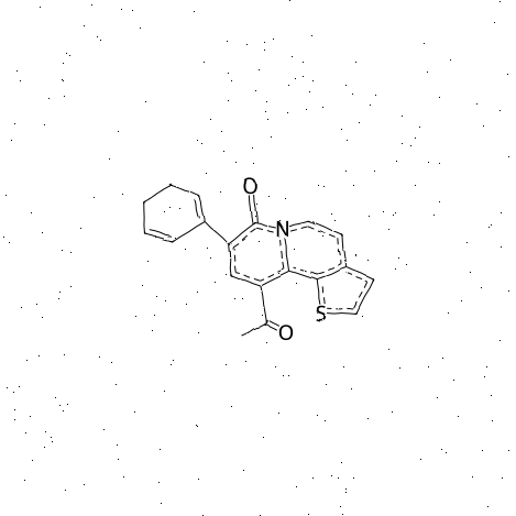 CC(=O)c1cc(C2=CCCC=C2)c(=O)n2ccc3ccsc3c12